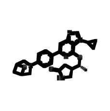 C[C@@H](Oc1nc(-c2ccc(N3CC4CC(C3)O4)cc2)cc2ncn(C3CC3)c12)[C@H]1CNC(=O)C1